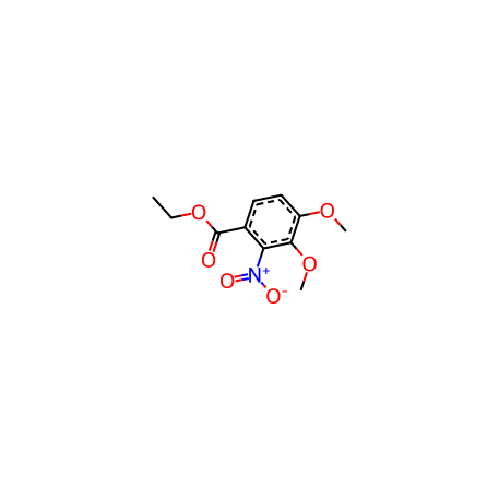 CCOC(=O)c1ccc(OC)c(OC)c1[N+](=O)[O-]